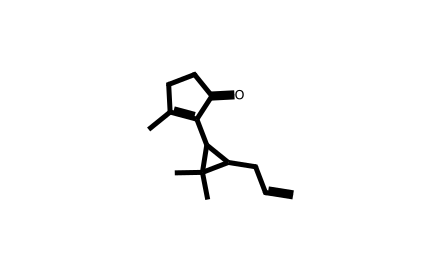 C=CCC1C(C2=C(C)CCC2=O)C1(C)C